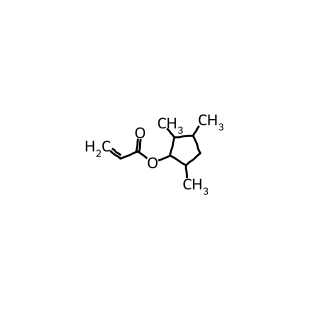 C=CC(=O)OC1C(C)CC(C)C1C